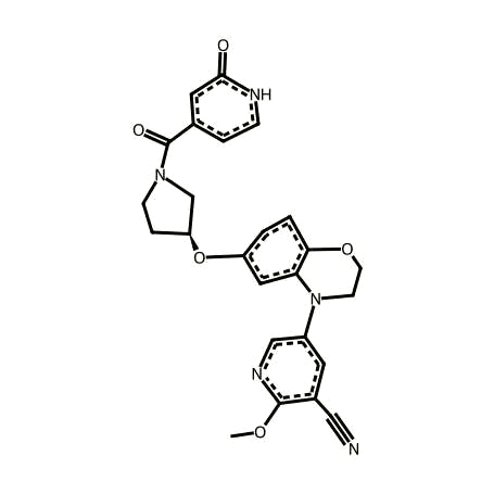 COc1ncc(N2CCOc3ccc(O[C@H]4CCN(C(=O)c5cc[nH]c(=O)c5)C4)cc32)cc1C#N